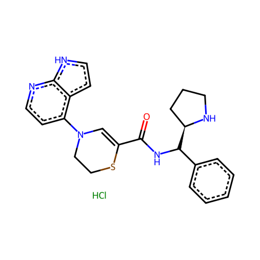 Cl.O=C(NC(c1ccccc1)[C@H]1CCCN1)C1=CN(c2ccnc3[nH]ccc23)CCS1